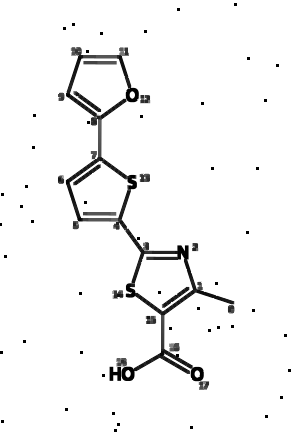 Cc1nc(-c2ccc(-c3ccco3)s2)sc1C(=O)O